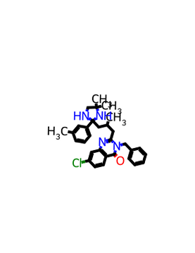 Cc1cccc(C2(CC(C)Cc3nc4cc(Cl)ccc4c(=O)n3Cc3ccccc3)NCC(C)(C)N2)c1